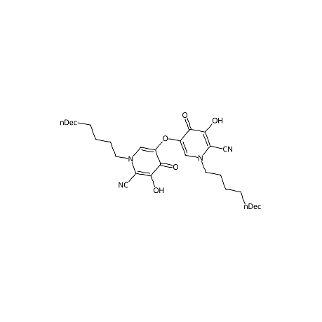 CCCCCCCCCCCCCCn1cc(Oc2cn(CCCCCCCCCCCCCC)c(C#N)c(O)c2=O)c(=O)c(O)c1C#N